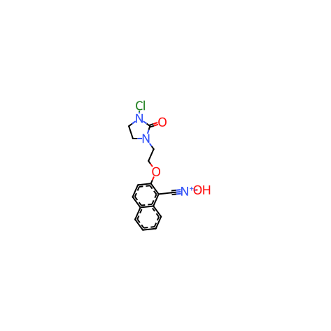 O=C1N(Cl)CCN1CCOc1ccc2ccccc2c1C#[N+]O